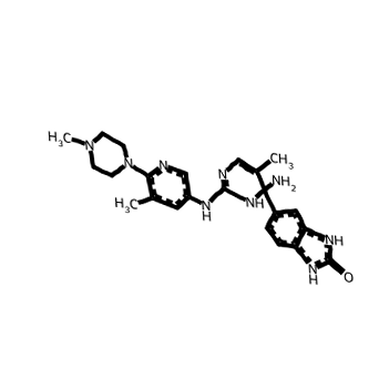 CC1=CN=C(Nc2cnc(N3CCN(C)CC3)c(C)c2)NC1(N)c1ccc2[nH]c(=O)[nH]c2c1